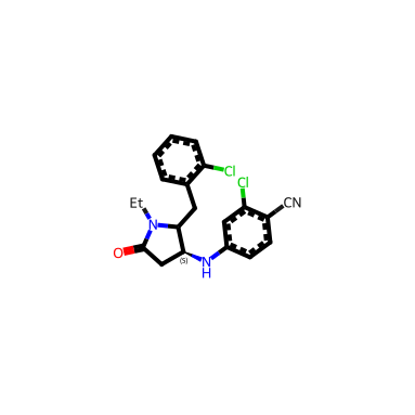 CCN1C(=O)C[C@H](Nc2ccc(C#N)c(Cl)c2)C1Cc1ccccc1Cl